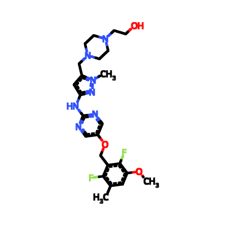 COc1cc(C)c(F)c(COc2cnc(Nc3cc(CN4CCN(CCO)CC4)n(C)n3)nc2)c1F